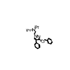 CC(C)N(CCn1cc(-c2ccccc2)c(OCc2ccccc2)n1)C(C)C